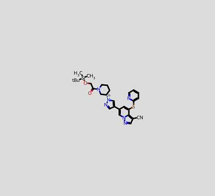 CC(C)(C)[Si](C)(C)OCC(=O)N1CCC[C@H](n2cc(-c3cc(Sc4ccccn4)c4c(C#N)cnn4c3)cn2)C1